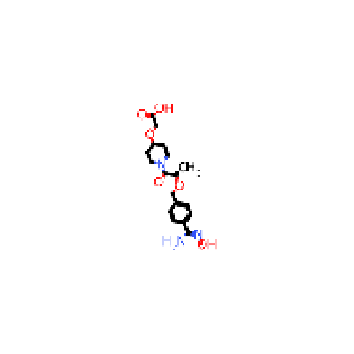 CC(OCc1ccc(/C(N)=N/O)cc1)C(=O)N1CCC(OCC(=O)O)CC1